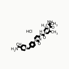 CC1CN(C(=O)Nc2ccn(-c3ccc(CN4CCC([C@H](C)N)CC4)cc3)c(=O)n2)CCN1C(=O)C(C)(C)N.Cl